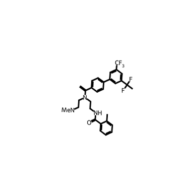 C=C(c1ccc(-c2cc(C(C)(F)F)cc(C(F)(F)F)c2)cc1)N(CCNC)CCNC(=O)c1ccccc1C